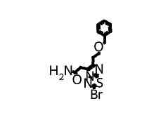 NC(=O)Cc1c(CCOCc2ccccc2)nc2sc(Br)nn12